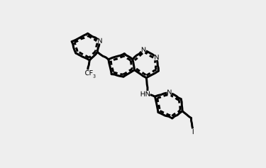 FC(F)(F)c1cccnc1-c1ccc2c(Nc3ccc(CI)cn3)cnnc2c1